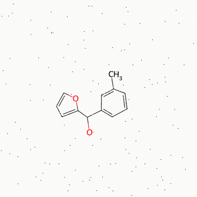 Cc1cccc(C([O])c2ccco2)c1